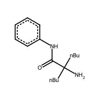 CCCCC(N)(CCCC)C(=O)Nc1ccccc1